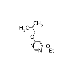 C=C(C)COc1cc(OCC)ncn1